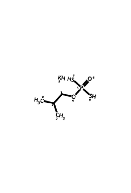 CC(C)COP(=O)(S)S.[KH]